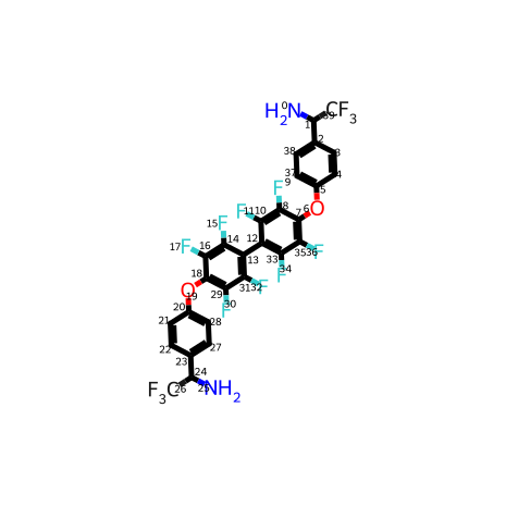 NC(c1ccc(Oc2c(F)c(F)c(-c3c(F)c(F)c(Oc4ccc(C(N)C(F)(F)F)cc4)c(F)c3F)c(F)c2F)cc1)C(F)(F)F